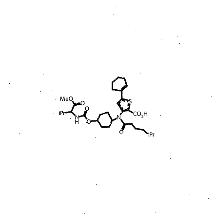 COC(=O)C(NC(=O)OC1CCC(N(C(=O)CCCC(C)C)c2cc(C3=CCCCC3)sc2C(=O)O)CC1)C(C)C